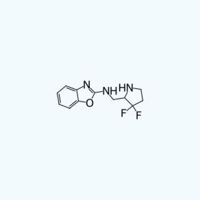 FC1(F)CCNC1CNc1nc2ccccc2o1